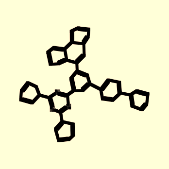 C1=CCC(c2nc(-c3ccccc3)nc(-c3cc(-c4ccc(-c5ccccc5)cc4)cc(-c4cc5ccccc5c5ccccc45)c3)n2)C=C1